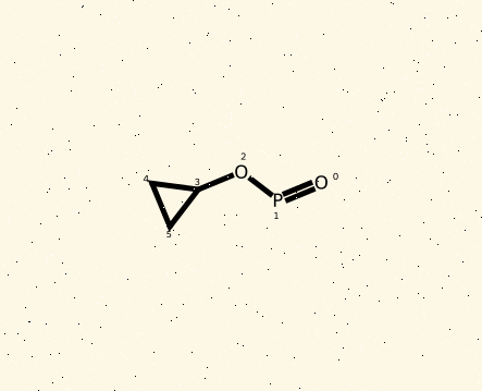 O=POC1CC1